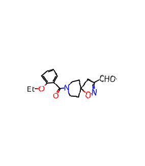 CCOc1ccccc1C(=O)N1CCC2(CC1)CC([C]=O)=NO2